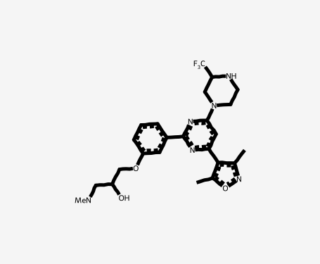 CNCC(O)COc1cccc(-c2nc(-c3c(C)noc3C)cc(N3CCNC(C(F)(F)F)C3)n2)c1